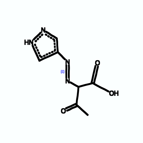 CC(=O)C(/N=N/c1cn[nH]c1)C(=O)O